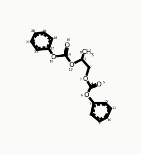 CC(COC(=O)Oc1ccccc1)OC(=O)Oc1ccccc1